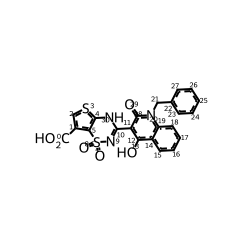 O=C(O)c1csc2c1S(=O)(=O)N=C(c1c(O)c3ccccc3n(Cc3ccccc3)c1=O)N2